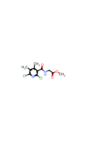 COC(=O)CNC(=O)c1c(Cl)nc(Cl)c(C)c1C